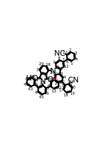 N#Cc1ccccc1-c1ccc2c(c1)c1cc(-c3ccccc3C#N)ccc1n2-c1cccc2c1C(=O)N(c1c(-c3ccccc3)cccc1-c1ccccc1)C2O